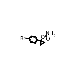 NC(=O)OC1(c2ccc(Br)cc2)CC1